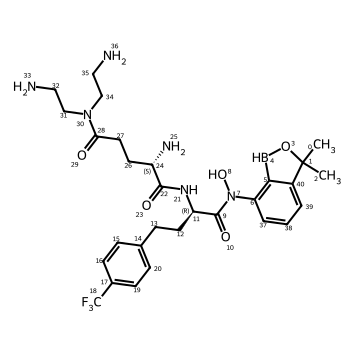 CC1(C)OBc2c(N(O)C(=O)[C@@H](CCc3ccc(C(F)(F)F)cc3)NC(=O)[C@@H](N)CCC(=O)N(CCN)CCN)cccc21